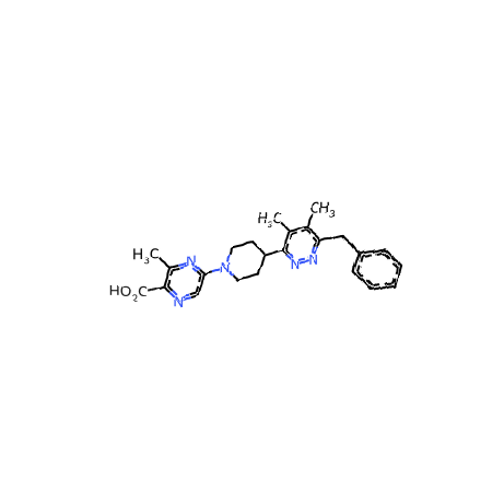 Cc1nc(N2CCC(c3nnc(Cc4ccccc4)c(C)c3C)CC2)cnc1C(=O)O